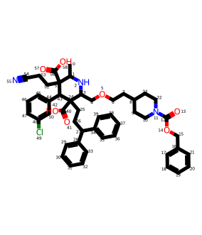 CC1NC(COCCC2CCN(C(=O)OCc3ccccc3)CC2)C(CCC(c2ccccc2)c2ccccc2)(C(=O)O)C(c2cccc(Cl)c2)C1(CCC#N)C(=O)O